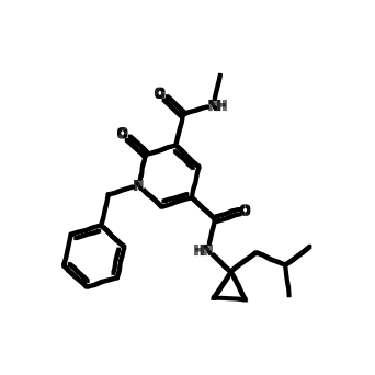 CNC(=O)c1cc(C(=O)NC2(CC(C)C)CC2)cn(Cc2ccccc2)c1=O